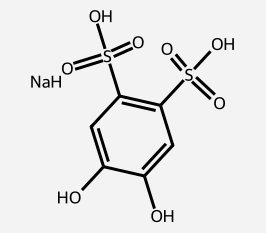 O=S(=O)(O)c1cc(O)c(O)cc1S(=O)(=O)O.[NaH]